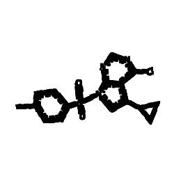 Cc1ccc(S(=O)(=O)n2cc(C3CC3)c3c(Cl)ncnc32)cc1